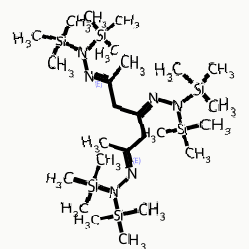 C/C(CC(C/C(C)=N/N([Si](C)(C)C)[Si](C)(C)C)=NN([Si](C)(C)C)[Si](C)(C)C)=N\N([Si](C)(C)C)[Si](C)(C)C